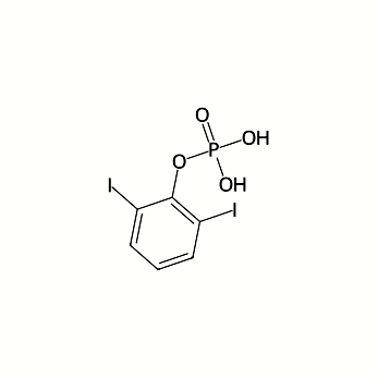 O=P(O)(O)Oc1c(I)cccc1I